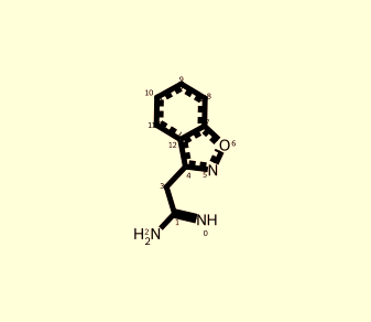 N=C(N)Cc1noc2ccccc12